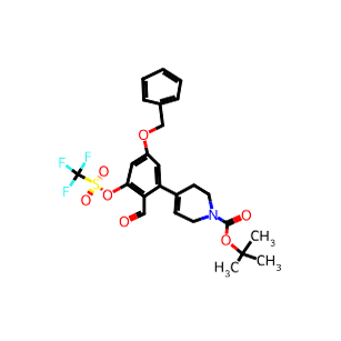 CC(C)(C)OC(=O)N1CC=C(c2cc(OCc3ccccc3)cc(OS(=O)(=O)C(F)(F)F)c2C=O)CC1